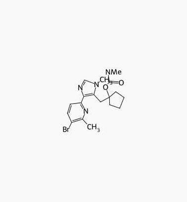 CNC(=O)OC1(Cc2c(-c3ccc(Br)c(C)n3)ncn2C)CCCC1